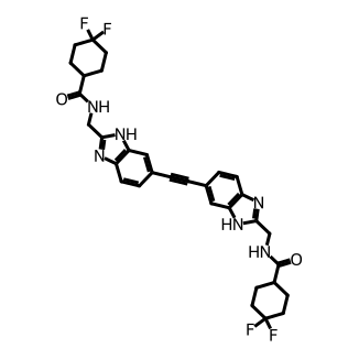 O=C(NCc1nc2ccc(C#Cc3ccc4nc(CNC(=O)C5CCC(F)(F)CC5)[nH]c4c3)cc2[nH]1)C1CCC(F)(F)CC1